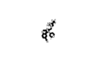 C[C@@H]1C[C@H](n2c(CN3C=C(C(F)(F)F)NN3)nc3cnc4ccc(C#N)cc4c32)CCO1